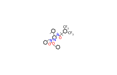 Cc1ccccc1-c1cc(N(Cc2ccccc2)C(=O)OCc2ccccc2)ncc1N(C)C(=O)C(C)(C)c1cc(C(F)(F)F)cc(C(F)(F)F)c1